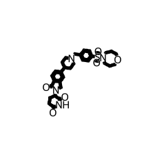 O=C1CCC(N2Cc3cc(C4CCN(Cc5ccc(S(=O)(=O)N6CCCOCCC6)cc5)CC4)ccc3C2=O)C(=O)N1